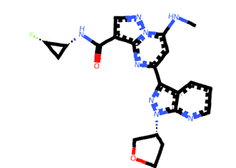 CNc1cc(-c2nn([C@@H]3CCOC3)c3ncccc23)nc2c(C(=O)N[C@@H]3C[C@@H]3F)cnn12